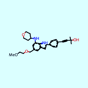 COCCOCc1cc(NC2CCOCC2)c2[nH]c(-c3ccc(C#CC(C)(C)O)cc3)cc2c1